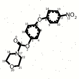 O=C(Oc1ccc(Oc2ccc([N+](=O)[O-])cc2)cc1)N1CCOCC1